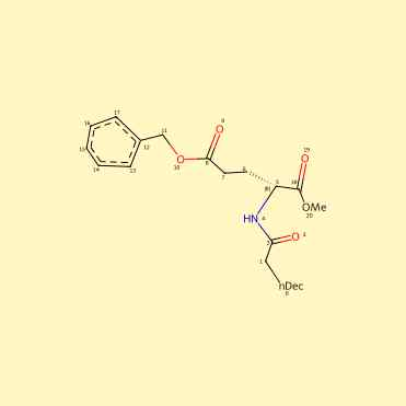 CCCCCCCCCCCC(=O)N[C@H](CCC(=O)OCc1ccccc1)C(=O)OC